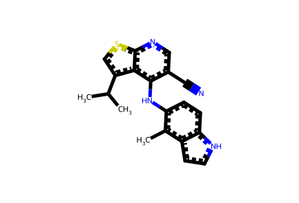 Cc1c(Nc2c(C#N)cnc3scc(C(C)C)c23)ccc2[nH]ccc12